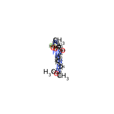 C[C@@H]1CN(c2cccc(-c3ccc4cnc(CNC(=O)c5ccc6c(c5)S(=O)(=O)[C@H](F)CN(C)C6)cc4n3)n2)C[C@H](C)O1